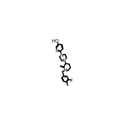 C=C1C(N2CCN(c3ccc(O)cn3)CC2)CCCN1Cc1ccc(C)c(F)c1